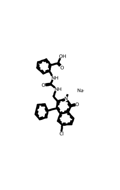 Cn1c(CNC(=O)Nc2ccccc2C(=O)O)c(-c2ccccc2)c2cc(Cl)ccc2c1=O.[Na]